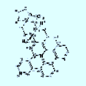 C[C@@H]1[C@H]2CCc3c(-c4ccccc4F)nc(-c4ccncc4-c4ccccc4)nc3[C@]2(C)CCC12OCCO2